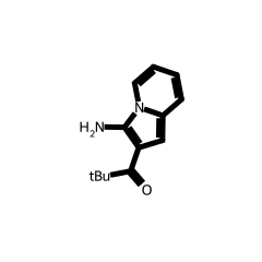 CC(C)(C)C(=O)c1cc2ccccn2c1N